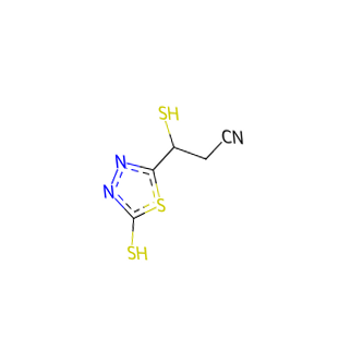 N#CCC(S)c1nnc(S)s1